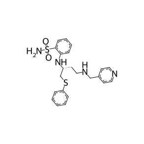 NS(=O)(=O)c1ccccc1N[C@H](CCNCc1ccncc1)CSc1ccccc1